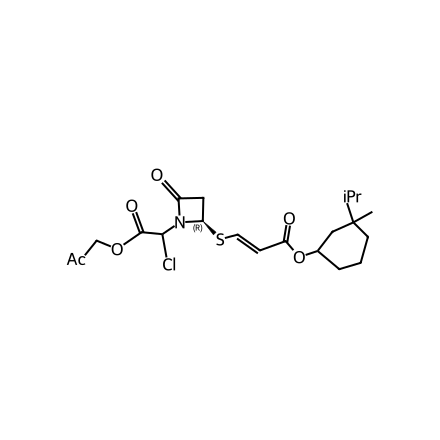 CC(=O)COC(=O)C(Cl)N1C(=O)C[C@H]1SC=CC(=O)OC1CCCC(C)(C(C)C)C1